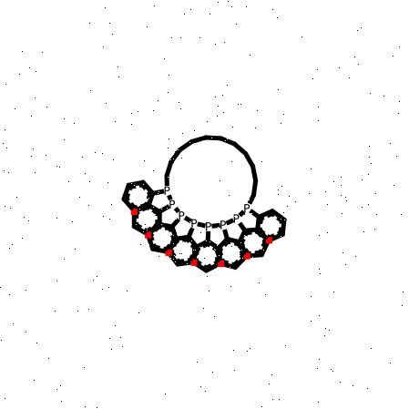 c1ccc(P2CCCCCCCCCCCP(c3ccccc3)P(c3ccccc3)P(c3ccccc3)P(c3ccccc3)P(c3ccccc3)P(c3ccccc3)P2c2ccccc2)cc1